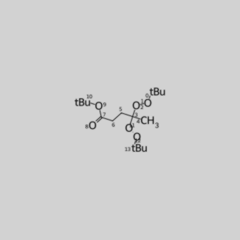 CC(C)(C)OOC(C)(CCC(=O)OC(C)(C)C)OOC(C)(C)C